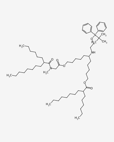 CCCCCCCCC(CCCCCC)C(=O)OCCCCCC(CCCCCOC(=O)CN(C)C(=O)C(CCCCCC)CCCCCCCC)NCCO[Si](c1ccccc1)(c1ccccc1)C(C)(C)C